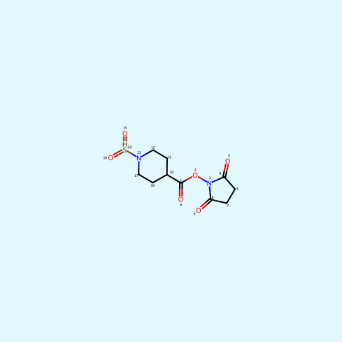 O=C(ON1C(=O)CCC1=O)C1CCN([SH](=O)=O)CC1